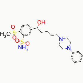 CS(=O)(=O)c1ccc(C(O)CCCCN2CCN(c3ccccc3)CC2)cc1S(N)(=O)=O